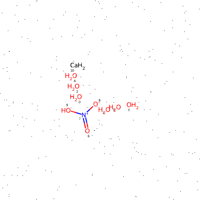 O.O.O.O.O.O.O=[N+]([O-])O.[CaH2]